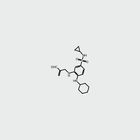 C=C(C=O)CNc1cc(S(=O)(=O)NC2CC2)ccc1NC1CCCCC1